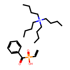 C=CP(=O)(O)C(=O)c1ccccc1.CCCC[N+](CCCC)(CCCC)CCCC